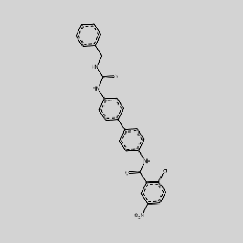 O=C(NCc1ccccc1)Nc1ccc(-c2ccc(NC(=O)c3cc([N+](=O)[O-])ccc3Cl)cc2)cc1